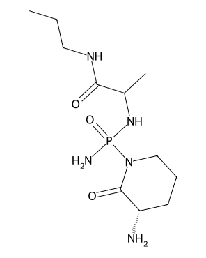 CCCNC(=O)C(C)NP(N)(=O)N1CCC[C@H](N)C1=O